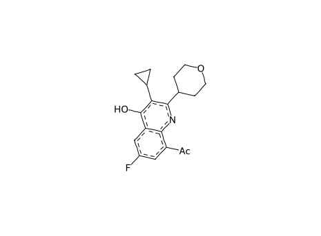 CC(=O)c1cc(F)cc2c(O)c(C3CC3)c(C3CCOCC3)nc12